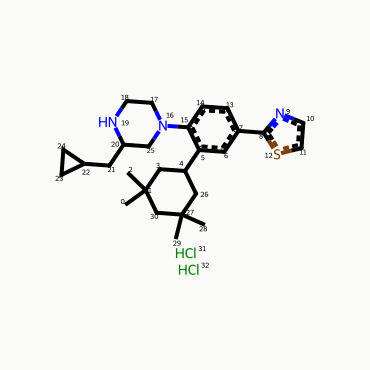 CC1(C)CC(c2cc(-c3nccs3)ccc2N2CCNC(CC3CC3)C2)CC(C)(C)C1.Cl.Cl